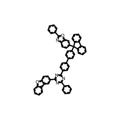 c1ccc(-c2nc(-c3ccc(-c4ccc(C5(c6ccc7nc(-c8ccccc8)oc7c6)c6ccccc6-c6ccccc65)cc4)cc3)nc(-c3ccc4oc5ccccc5c4c3)n2)cc1